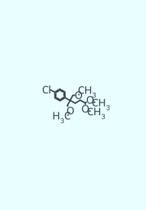 COCC(CCC(OC)OC)(COC)c1ccc(Cl)cc1